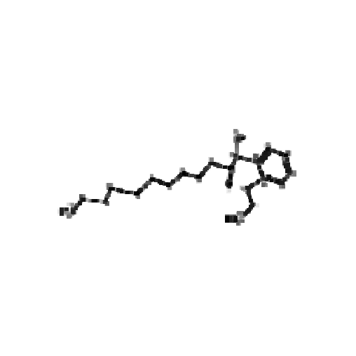 CCCN(C(=O)CCCCCCCCCS(=O)(=O)O)c1ccccc1OCC(=O)O